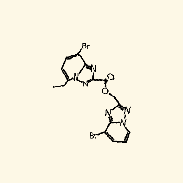 CCc1ccc(Br)c2nc(C(=O)OCc3nc4c(Br)cccn4n3)nn12